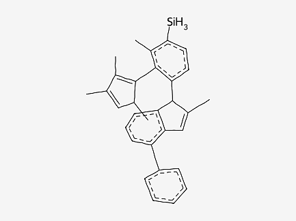 CC1=CC(C)C(c2c(C3C(C)=Cc4c(-c5ccccc5)cccc43)ccc([SiH3])c2C)=C1C